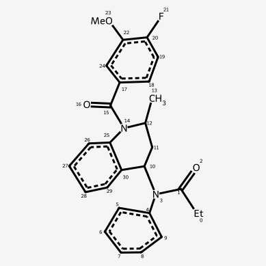 CCC(=O)N(c1ccccc1)C1CC(C)N(C(=O)c2ccc(F)c(OC)c2)c2ccccc21